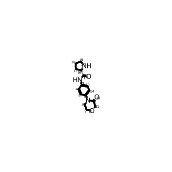 O=C(Nc1ccc(N2CCOCC2=O)cc1)[C@@H]1CCCN1